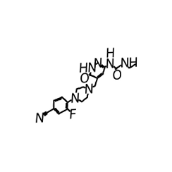 CCNC(=O)Nc1cc(CN2CCN(c3ccc(C#N)cc3F)CC2)c(=O)[nH]n1